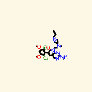 C=CCN1CC(N(C)CCn2c(=O)c(-c3c(Cl)c(OC)cc(OC)c3Cl)cc3cnc(NC)nc32)C1